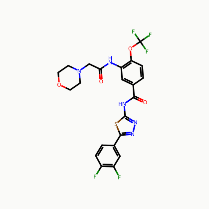 O=C(CN1CCOCC1)Nc1cc(C(=O)Nc2nnc(-c3ccc(F)c(F)c3)s2)ccc1OC(F)(F)F